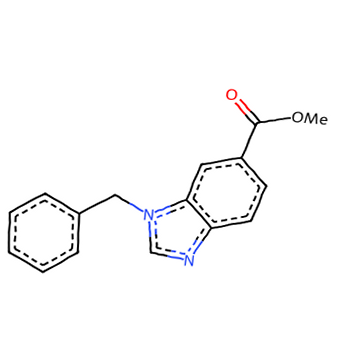 COC(=O)c1ccc2ncn(Cc3ccccc3)c2c1